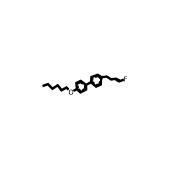 CCCCCCOc1ccc(-c2ccc(CCC=CF)cc2)cc1